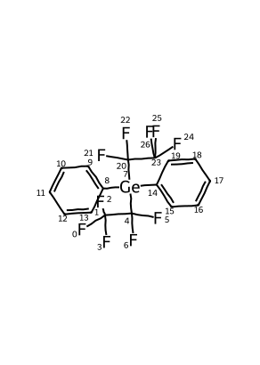 FC(F)(F)[C](F)(F)[Ge]([c]1ccccc1)([c]1ccccc1)[C](F)(F)C(F)(F)F